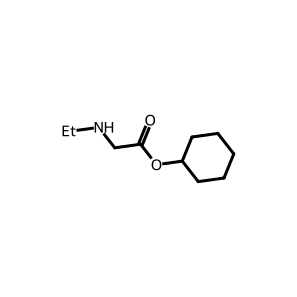 CCNCC(=O)OC1CCCCC1